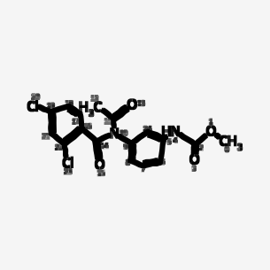 COC(=O)Nc1cccc(N(C(C)=O)C(=O)c2ccc(Cl)cc2Cl)c1